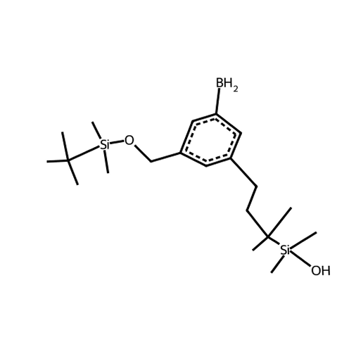 Bc1cc(CCC(C)(C)[Si](C)(C)O)cc(CO[Si](C)(C)C(C)(C)C)c1